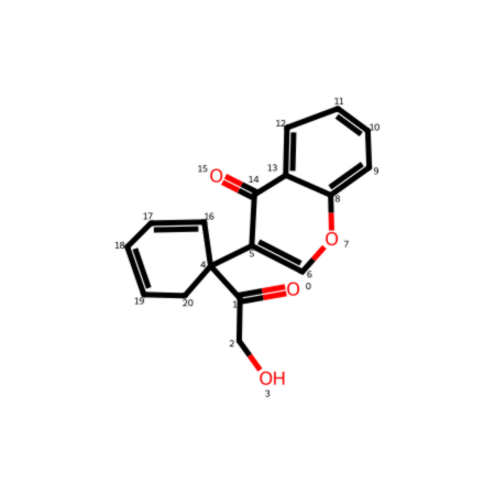 O=C(CO)C1(c2coc3ccccc3c2=O)C=CC=CC1